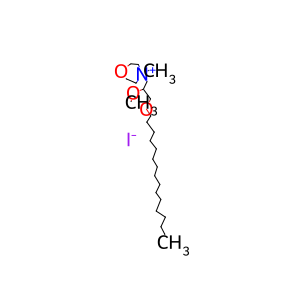 CCCCCCCCCCCCCCCCOCC(C[N+]1(C)CCOCC1)OC.[I-]